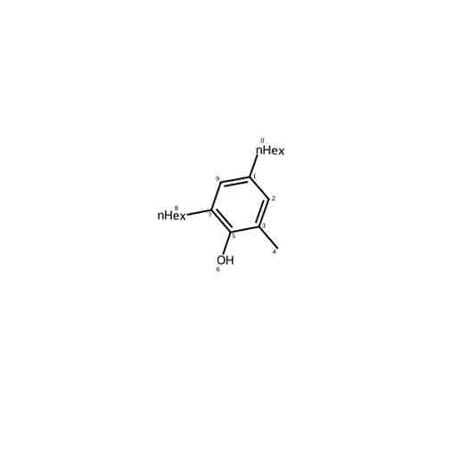 CCCCCCc1cc(C)c(O)c(CCCCCC)c1